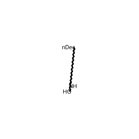 CCCCCCCCCCCCCCCCCCCCCCCCCCCCC=CNCCO